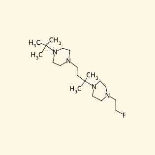 CC(C)(C)N1CCN(CCC(C)(C)N2CCN(CCF)CC2)CC1